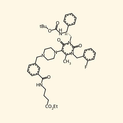 CCOC(=O)CCCNC(=O)c1cccc(CN2CCN(c3c(C)n(Cc4ccccc4F)c(=O)n(C[C@H](NC(=O)OC(C)(C)C)c4ccccc4)c3=O)CC2)c1